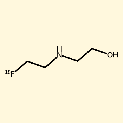 OCCNCC[18F]